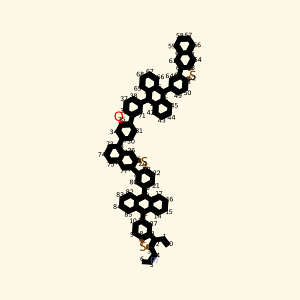 C=Cc1c(/C=C\C)sc2ccc(-c3c4ccccc4c(-c4ccc5sc6cc7c(-c8ccc9c(c8)oc8ccc(-c%10c%11ccccc%11c(-c%11ccc%12sc%13cc%14ccccc%14cc%13c%12c%11)c%11ccccc%10%11)cc89)cccc7cc6c5c4)c4ccccc34)cc12